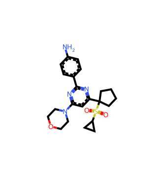 Nc1ccc(-c2nc(N3CCOCC3)cc(C3(S(=O)(=O)C4CC4)CCCC3)n2)cc1